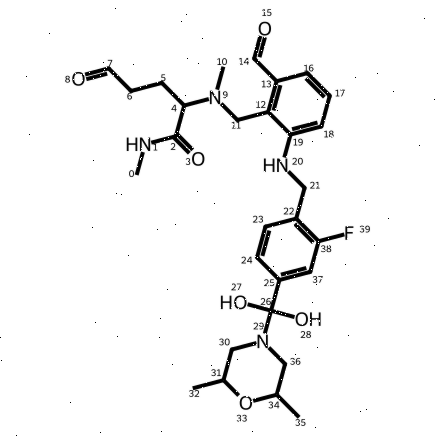 CNC(=O)C(CCC=O)N(C)Cc1c(C=O)cccc1NCc1ccc(C(O)(O)N2CC(C)OC(C)C2)cc1F